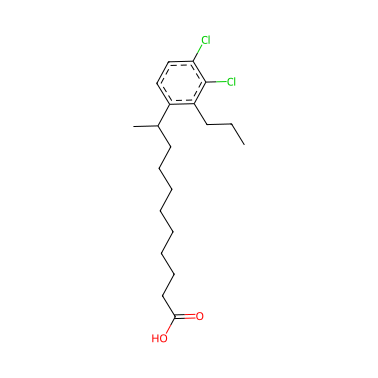 CCCc1c(C(C)CCCCCCCCC(=O)O)ccc(Cl)c1Cl